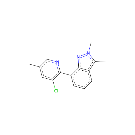 Cc1cnc(-c2cccc3c(C)n(C)nc23)c(Cl)c1